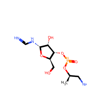 C[C@H](CN)O[PH](=O)O[C@H]1[C@@H](O)[C@@H](NC=N)O[C@@H]1CO